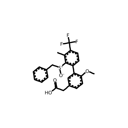 COc1ccc(CC(=O)O)cc1-c1ccc(C(F)(F)F)c(C)c1[S+]([O-])Cc1ccccc1